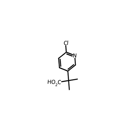 CC(C)(C(=O)O)c1ccc(Cl)nc1